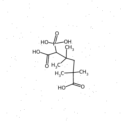 CC(C)(CC(C)(C)C(C(=O)O)P(=O)(O)O)C(=O)O